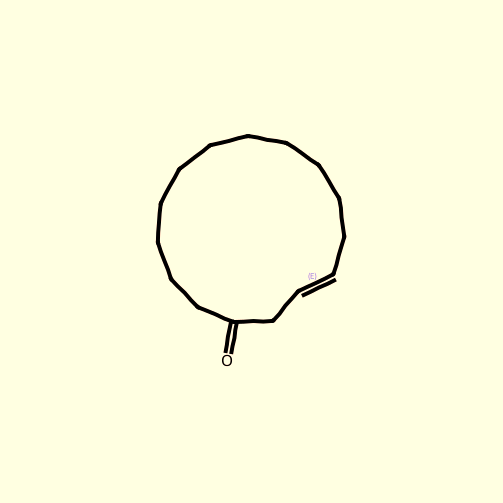 O=C1C/C=C/CCCCCCCCCCC1